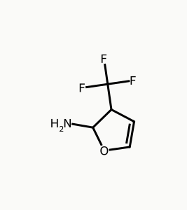 NC1OC=CC1C(F)(F)F